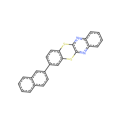 c1ccc2cc(-c3ccc4c(c3)Sc3nc5ccccc5nc3S4)ccc2c1